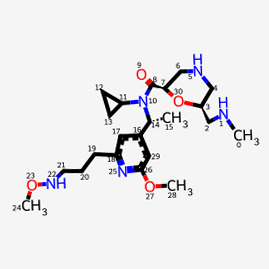 CNC[C@@H]1CNC[C@H](C(=O)N(C2CC2)[C@H](C)c2cc(CCCNOC)nc(OC)c2)O1